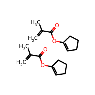 C=C(C)C(=O)OC1=CCCC1.C=C(C)C(=O)OC1=CCCC1